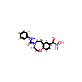 O=C(NO)c1ccc2c(c1)CCN(C(=O)Nc1ccccc1)CCO2